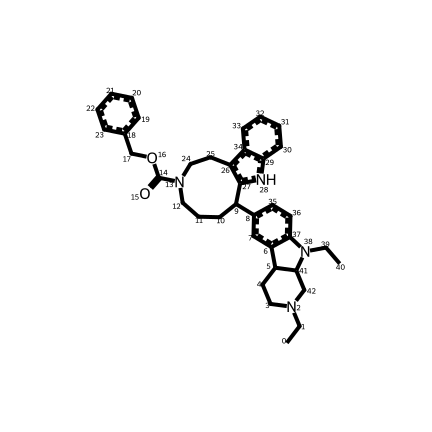 CCN1CCC2c3cc(C4CCCN(C(=O)OCc5ccccc5)CCc5c4[nH]c4ccccc54)ccc3N(CC)C2C1